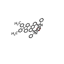 Cc1ccc(C2(c3ccc(C)cc3)c3ccccc3-c3c(-c4c5cccc(-n6c(-c7ccccc7)nc7ccccc76)c5cc5c(-n6c(-c7ccccc7)nc7ccccc76)cccc45)cccc32)cc1